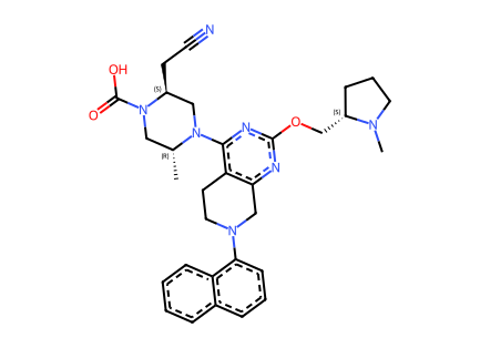 C[C@@H]1CN(C(=O)O)[C@@H](CC#N)CN1c1nc(OC[C@@H]2CCCN2C)nc2c1CCN(c1cccc3ccccc13)C2